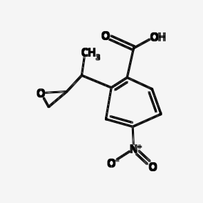 CC(c1cc([N+](=O)[O-])ccc1C(=O)O)C1CO1